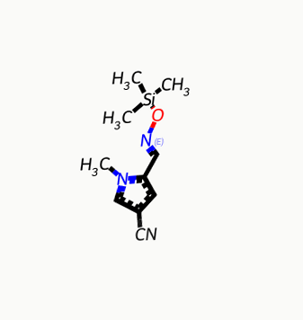 Cn1cc(C#N)cc1/C=N/O[Si](C)(C)C